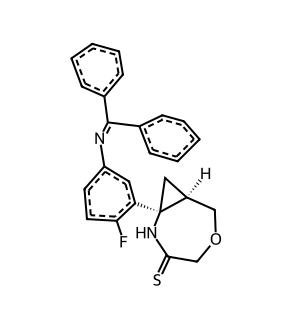 Fc1ccc(N=C(c2ccccc2)c2ccccc2)cc1[C@]12C[C@H]1COCC(=S)N2